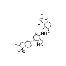 O=S1(=O)C(F)=Cc2cc(-c3cnc(NCc4c(F)ccc5c4[C@H]4C[C@H]4O5)n4cnnc34)ccc21